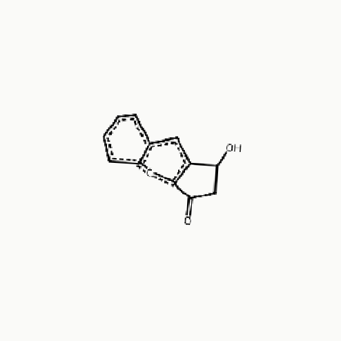 O=C1CC(O)c2cc3ccccc3cc21